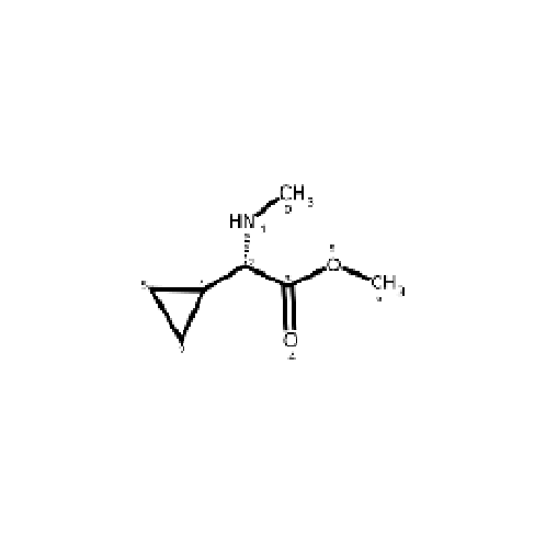 CN[C@H](C(=O)OC)C1CC1